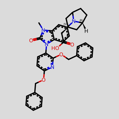 Cn1c(=O)n(-c2ccc(OCc3ccccc3)nc2OCc2ccccc2)c2ccc(N3C4CC[C@@H]3C[C@@H](CC(=O)O)C4)cc21